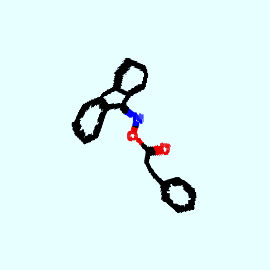 O=C(Cc1ccccc1)ON=C1C2=CCCC=C2c2ccccc21